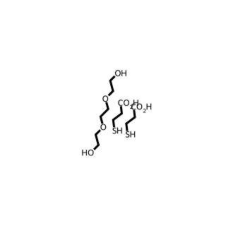 O=C(O)CCS.O=C(O)CCS.OCCOCCOCCO